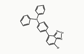 Brc1ccc(-c2ccc(N(c3ccccc3)c3ccccc3)cc2)c2n[se]nc12